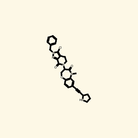 CN1C(=O)C(N2CCc3c(nn(Cc4ccccc4)c3Cl)C2=O)COc2ccc(C#CC3CCCN3)cc21